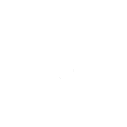 COc1ccc(N2C(=O)N(Cc3ccccc3Cc3ccccc3)C(C)(C)C2=O)c(OC)c1